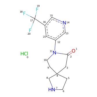 Cl.O=C1CC2(CCNC2)CCN1c1cncc(C(F)(F)F)c1